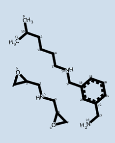 C(NCC1CO1)C1CO1.CC(C)CCCCNCc1cccc(CN)c1